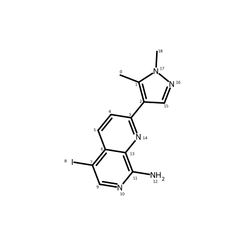 Cc1c(-c2ccc3c(I)cnc(N)c3n2)cnn1C